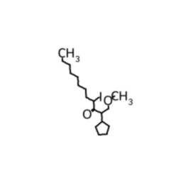 CCCCCCCCC(I)C(=O)C(COC)C1CCCC1